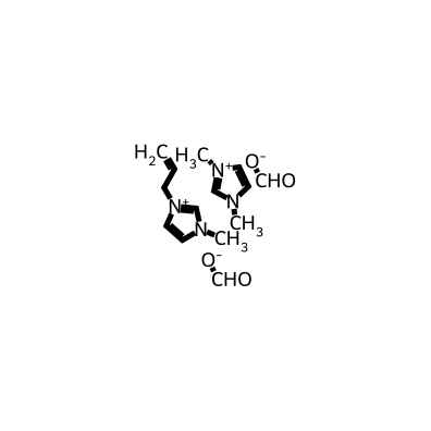 C=CC[n+]1ccn(C)c1.Cn1cc[n+](C)c1.O=C[O-].O=C[O-]